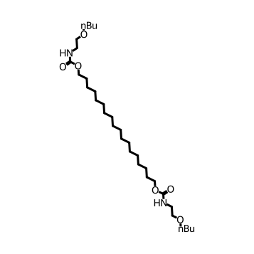 CCCCOCCNC(=O)OCCCCCCCCCCCCCCCCCCOC(=O)NCCOCCCC